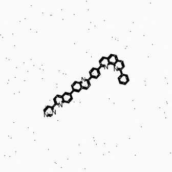 c1ccc(-c2ccc3ccc4ccc(-c5ccc(-c6ccc7cc(-c8ccc9nc(-c%10ccncn%10)ccc9c8)ccc7n6)cc5)nc4c3n2)cc1